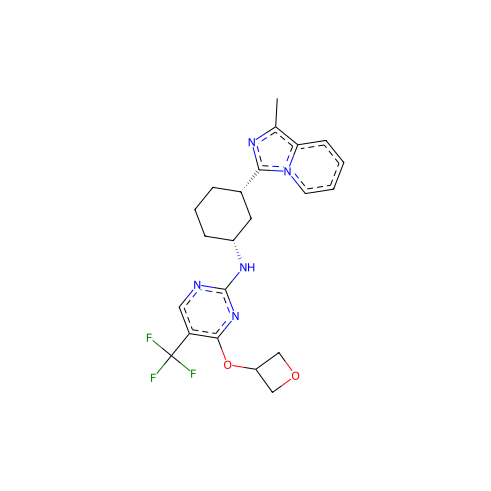 Cc1nc([C@H]2CCC[C@@H](Nc3ncc(C(F)(F)F)c(OC4COC4)n3)C2)n2ccccc12